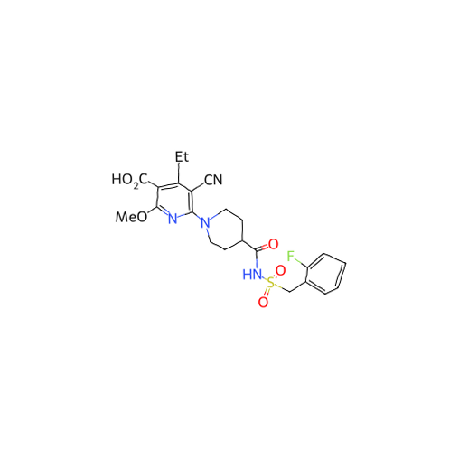 CCc1c(C#N)c(N2CCC(C(=O)NS(=O)(=O)Cc3ccccc3F)CC2)nc(OC)c1C(=O)O